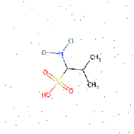 CC(C)C(N(Cl)Cl)S(=O)(=O)O